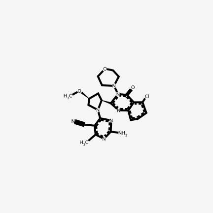 CO[C@H]1C[C@@H](c2nc3cccc(Cl)c3c(=O)n2N2CCOCC2)N(c2nc(N)nc(C)c2C#N)C1